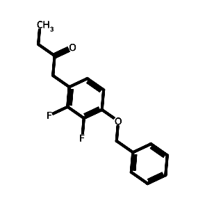 CCC(=O)Cc1ccc(OCc2ccccc2)c(F)c1F